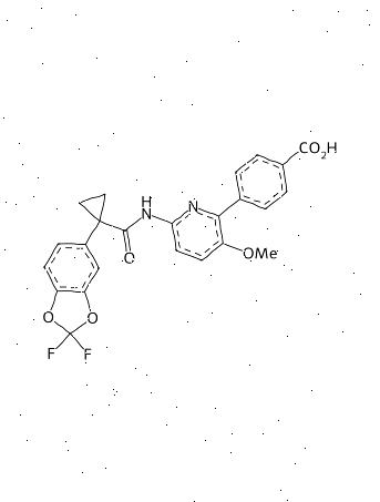 COc1ccc(NC(=O)C2(c3ccc4c(c3)OC(F)(F)O4)CC2)nc1-c1ccc(C(=O)O)cc1